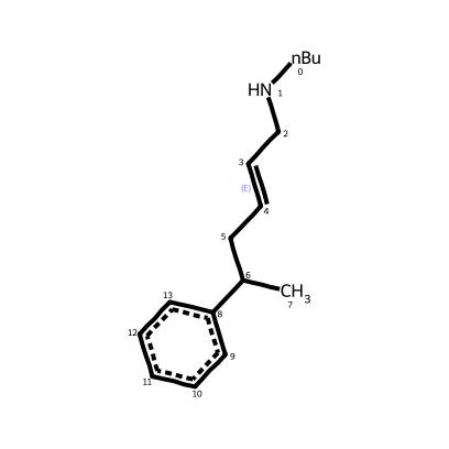 CCCCNC/C=C/CC(C)c1ccccc1